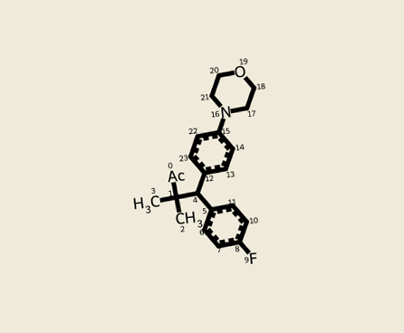 CC(=O)C(C)(C)C(c1ccc(F)cc1)c1ccc(N2CCOCC2)cc1